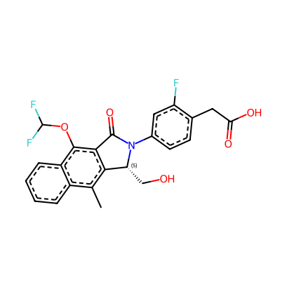 Cc1c2c(c(OC(F)F)c3ccccc13)C(=O)N(c1ccc(CC(=O)O)c(F)c1)[C@@H]2CO